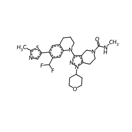 CNC(=O)N1CCc2c(c(N3CCCc4cc(-c5cnc(C)s5)c(C(F)F)cc43)nn2C2CCOCC2)C1